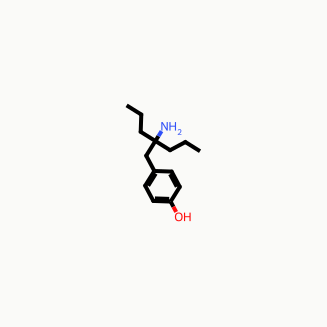 CCCC(N)(CCC)Cc1ccc(O)cc1